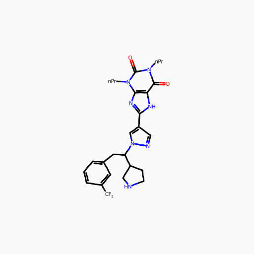 CCCn1c(=O)c2[nH]c(-c3cnn(C(Cc4cccc(C(F)(F)F)c4)C4CCNC4)c3)nc2n(CCC)c1=O